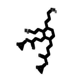 CCCCC1CCC(CCCC(=O)OC2CO2)C(CCC(=O)OC2CO2)C1CCC